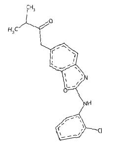 CC(C)C(=O)Cc1ccc2nc(Nc3ccccc3Cl)oc2c1